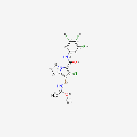 CC(NSc1c(Cl)c(C(=O)Nc2cc(F)c(F)c(F)c2)n2c1CCC2)OC(F)(F)F